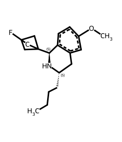 CCCC[C@H]1Cc2cc(OC)ccc2[C@H](C23CC(F)(C2)C3)N1